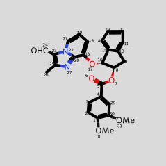 COc1ccc(C(=O)O[C@@H]2Cc3ccccc3[C@H]2Oc2cccn3c(C=O)c(C)nc23)cc1OC